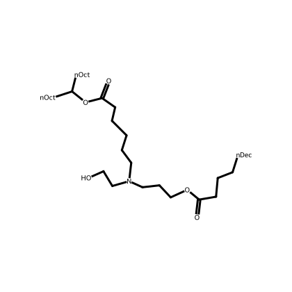 CCCCCCCCCCCCCC(=O)OCCCN(CCO)CCCCCC(=O)OC(CCCCCCCC)CCCCCCCC